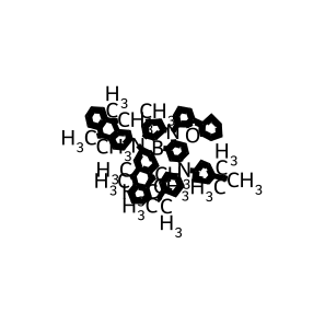 Cc1cc2c3c(c1)N(c1cccc4c1oc1ccccc14)c1ccc(N(c4ccc(C(C)(C)C)cc4)c4ccc(C(C)(C)C)cc4)cc1B3c1cc3c(cc1N2c1ccc2c(c1)C(C)(C)c1ccccc1C2(C)C)C(C)(C)c1ccccc1C3(C)C